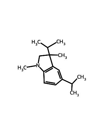 CC(C)c1ccc2c(c1)C(C)(C(C)C)CN2C